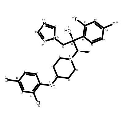 C[C@@H](N1CCC(Nc2ccc(Cl)cc2Cl)CC1)[C@](O)(Cn1cncn1)c1ccc(F)cc1F